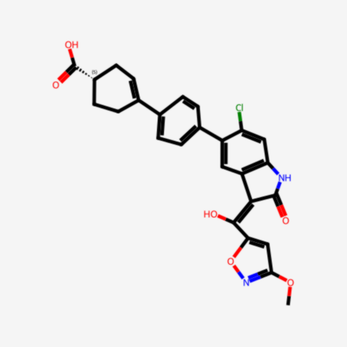 COc1cc(C(O)=C2C(=O)Nc3cc(Cl)c(-c4ccc(C5=CC[C@@H](C(=O)O)CC5)cc4)cc32)on1